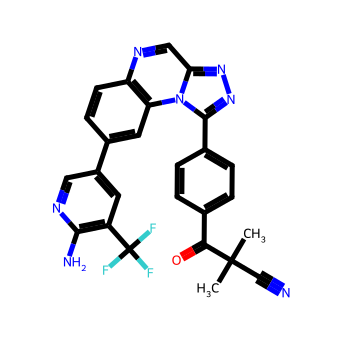 CC(C)(C#N)C(=O)c1ccc(-c2nnc3cnc4ccc(-c5cnc(N)c(C(F)(F)F)c5)cc4n23)cc1